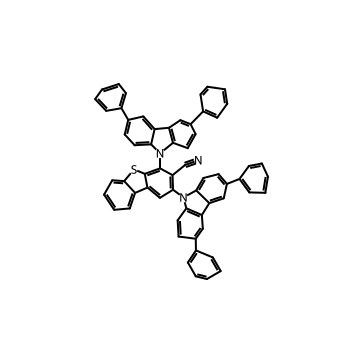 N#Cc1c(-n2c3ccc(-c4ccccc4)cc3c3cc(-c4ccccc4)ccc32)cc2c(sc3ccccc32)c1-n1c2ccc(-c3ccccc3)cc2c2cc(-c3ccccc3)ccc21